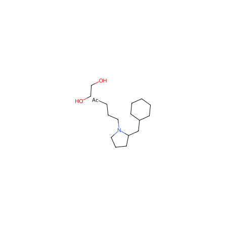 CC(=O)CCCN1CCCC1CC1CCCCC1.OCCO